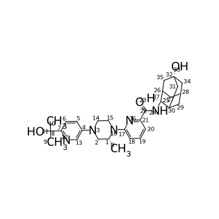 C[C@@H]1CN(c2ccc(C(C)(C)O)nc2)CCN1c1cccc(C(=O)N[C@H]2C3CC4CC2C[C@](O)(C4)C3)n1